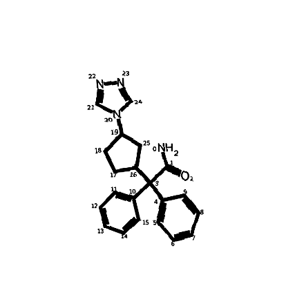 NC(=O)C(c1ccccc1)(c1ccccc1)C1CCC(n2cnnc2)C1